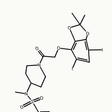 C=CS(=O)(=O)N(C)C1CCN(C(=O)COc2c(I)cc(I)c3c2OC(C)(C)O3)CC1